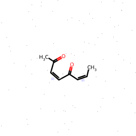 C/C=C\C(=O)/C=C\C(C)=O